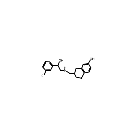 Oc1ccc2c(c1)CC(CNCC(O)c1cccc(Cl)c1)CC2